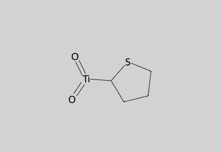 [O]=[Ti](=[O])[CH]1CCCS1